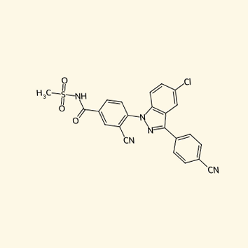 CS(=O)(=O)NC(=O)c1ccc(-n2nc(-c3ccc(C#N)cc3)c3cc(Cl)ccc32)c(C#N)c1